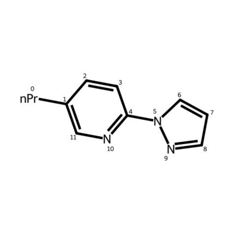 CCCc1ccc(-n2cccn2)nc1